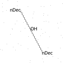 CCCCCCCCCCCCCCCCCCCCCCCCCCCCCC(O)CCCCCCCCCCCCCCCCCCCCCCCCCC